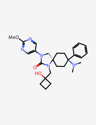 COc1ncc(N2C[C@]3(CC[C@](c4ccccc4)(N(C)C)CC3)N(CC3(O)CCC3)C2=O)cn1